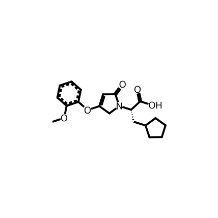 COc1ccccc1OC1=CC(=O)N([C@@H](CC2CCCC2)C(=O)O)C1